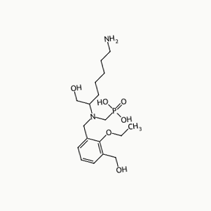 CCOc1c(CO)cccc1CN(CP(=O)(O)O)C(CO)CCCCCN